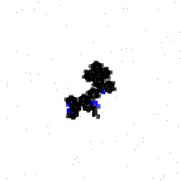 C=C/C=C\c1c(-c2cc3cccnc3c3ncccc23)ccc(C/C=C\C(=C/CC)c2nc3ccccc3c3cc4c(cc23)-c2ccccc2C4(c2ccccc2)c2ccccc2)c1N